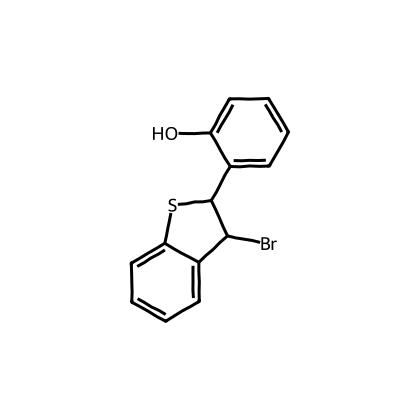 Oc1ccccc1C1Sc2ccccc2C1Br